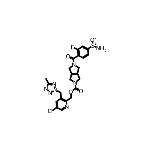 Cc1nnn(Cc2cc(Cl)cnc2COC(=O)N2CC3=C(C2)CN(C(=O)c2ccc([S+](N)[O-])cc2F)C3)n1